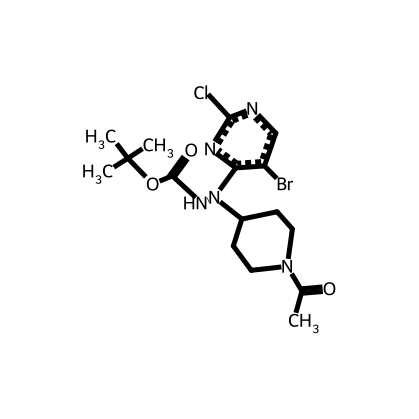 CC(=O)N1CCC(N(NC(=O)OC(C)(C)C)c2nc(Cl)ncc2Br)CC1